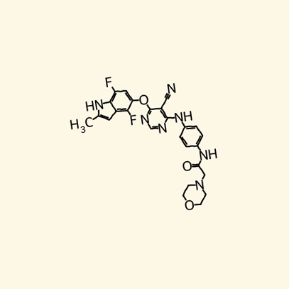 Cc1cc2c(F)c(Oc3ncnc(Nc4ccc(NC(=O)CN5CCOCC5)cc4)c3C#N)cc(F)c2[nH]1